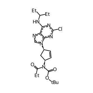 CCC(=O)N(C(=O)OC(C)(C)C)[C@@H]1C=C[C@H](n2cnc3c(NC(CC)CC)nc(Cl)nc32)C1